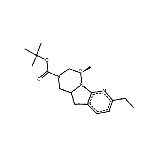 CCc1ccc2c(n1)N1C(C2)CN(C(=O)OC(C)(C)C)C[C@H]1C